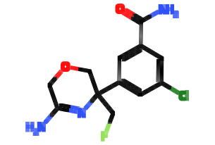 NC(=O)c1cc(Cl)cc(C2(CF)COCC(N)=N2)c1